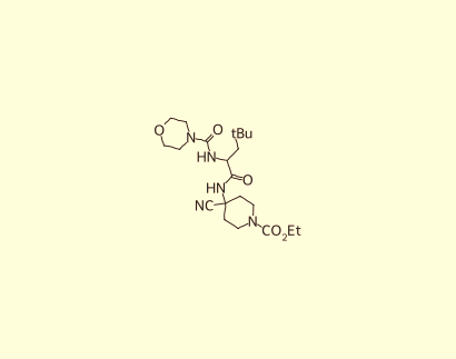 CCOC(=O)N1CCC(C#N)(NC(=O)C(CC(C)(C)C)NC(=O)N2CCOCC2)CC1